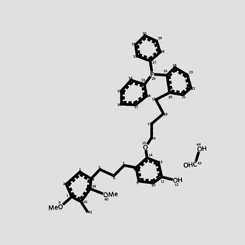 COc1ccc(CCCc2ccc(O)cc2OCCCCc2ccccc2P(c2ccccc2)c2ccccc2)c(OC)c1C.O=CO